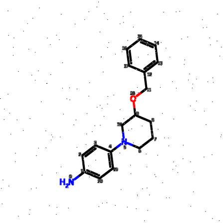 Nc1ccc(N2CCCC(OCc3ccccc3)C2)cc1